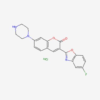 Cl.O=c1oc2cc(N3CCNCC3)ccc2cc1-c1nc2cc(F)ccc2o1